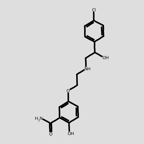 NC(=O)c1cc(OCCNCC(O)c2ccc(Cl)cc2)ccc1O